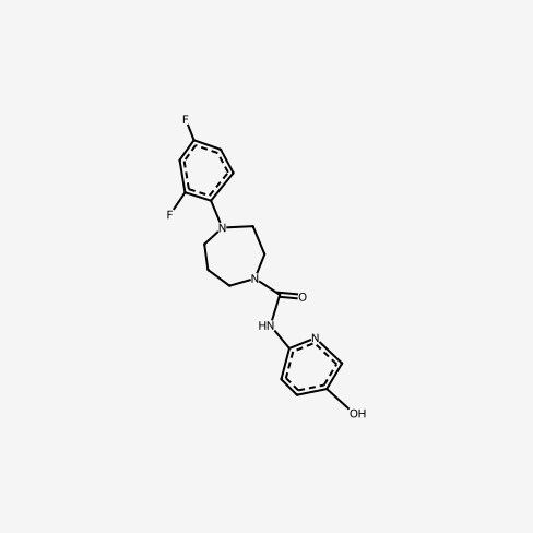 O=C(Nc1ccc(O)cn1)N1CCCN(c2ccc(F)cc2F)CC1